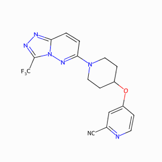 N#Cc1cc(OC2CCN(c3ccc4nnc(C(F)(F)F)n4n3)CC2)ccn1